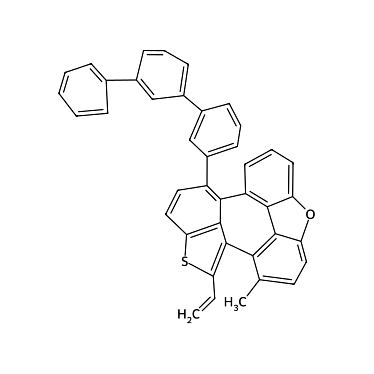 C=Cc1sc2ccc(-c3cccc(-c4cccc(-c5ccccc5)c4)c3)c3c2c1-c1c(C)ccc2oc4cccc-3c4c12